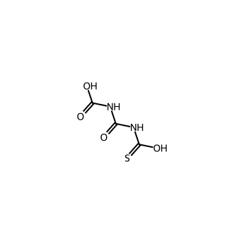 O=C(O)NC(=O)NC(O)=S